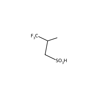 CC(CS(=O)(=O)O)C(F)(F)F